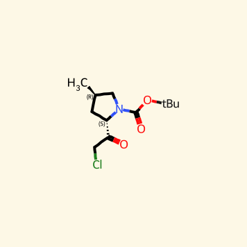 C[C@@H]1C[C@@H](C(=O)CCl)N(C(=O)OC(C)(C)C)C1